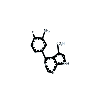 Nc1cc(-c2ncnc3[nH]cc(C(=O)O)c23)ccc1F